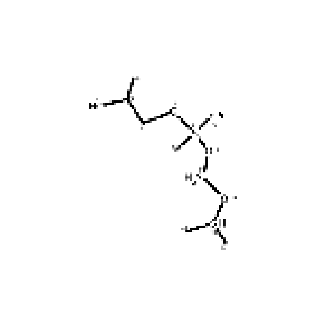 CCC[Si](C)(OCC(C)C#N)O[SiH2]O[SiH](C)C